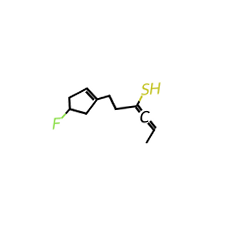 CC=C=C(S)CCC1=CCC(F)C1